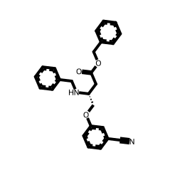 N#Cc1cccc(OC[C@@H](CC(=O)OCc2ccccc2)NCc2ccccc2)c1